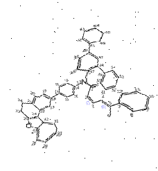 C=C(/C=C\C=C(/C)c1ccccc1)N(c1ccc(-c2ccc3c(c2)-c2c(oc4ccccc24)CC3)cc1)c1ccc(C2=CC=CCC2)cc1-c1ccccc1